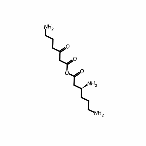 NCCCC(=O)CC(=O)OC(=O)C[C@@H](N)CCCN